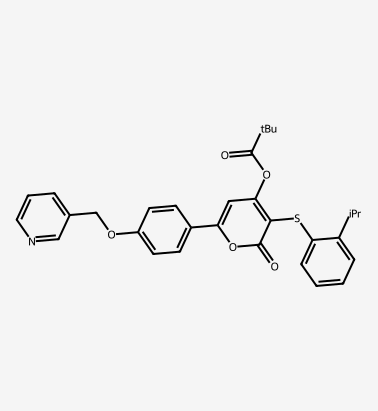 CC(C)c1ccccc1Sc1c(OC(=O)C(C)(C)C)cc(-c2ccc(OCc3cccnc3)cc2)oc1=O